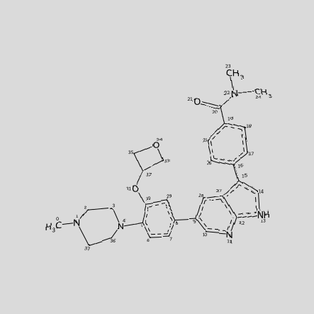 CN1CCN(c2ccc(-c3cnc4[nH]cc(-c5ccc(C(=O)N(C)C)cc5)c4c3)cc2OC2COC2)CC1